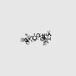 CCOC(Cc1ccc(OCCN(CCC(C)C)C(=O)NC(C)CC)cc1)C(=O)O